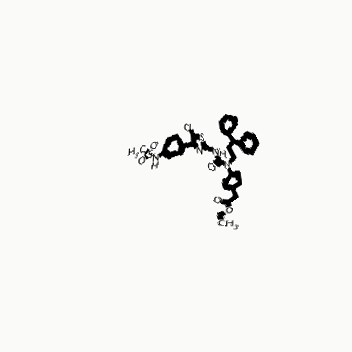 CCOC(=O)Cc1ccc(N(CCC(c2ccccc2)c2ccccc2)C(=O)Nc2nc(-c3ccc(NS(C)(=O)=O)cc3)c(Cl)s2)cc1